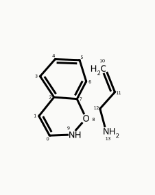 C1=Cc2ccccc2ON1.C=CCN